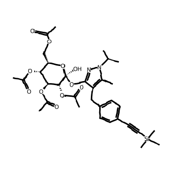 CC(=O)OC[C@H]1O[C@@](O)(Oc2nn(C(C)C)c(C)c2Cc2ccc(C#C[Si](C)(C)C)cc2)[C@H](OC(C)=O)[C@@H](OC(C)=O)[C@@H]1OC(C)=O